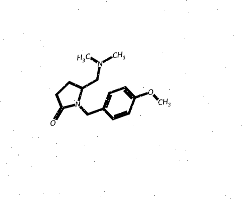 COc1ccc(CN2C(=O)CCC2CN(C)C)cc1